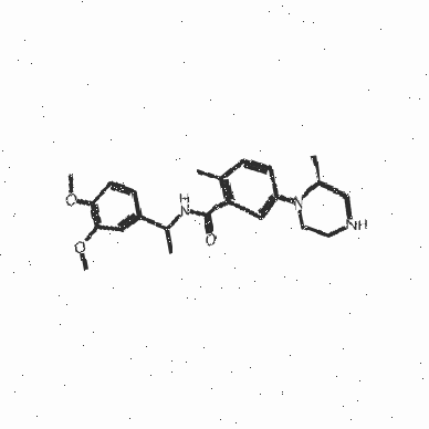 COc1ccc(C(C)NC(=O)c2cc(N3CCNC[C@@H]3C)ccc2C)cc1OC